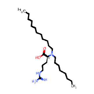 CCCCCCCCCCCCN(CCCCCCCC)[C@@H](CCCNC(=N)N)C(=O)O